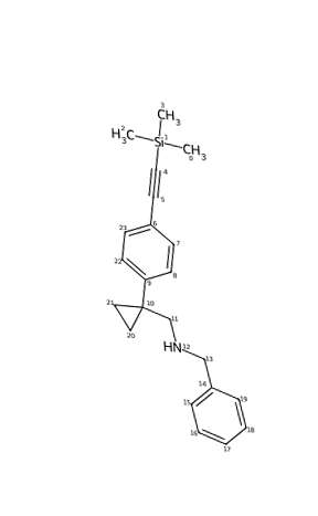 C[Si](C)(C)C#Cc1ccc(C2(CNCc3ccccc3)CC2)cc1